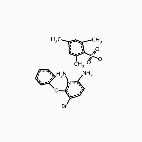 Cc1cc(C)c(S(=O)(=O)[O-])c(C)c1.Nc1ccc(Br)c(Oc2ccccc2)[n+]1N